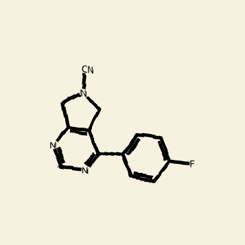 N#CN1Cc2n[c]nc(-c3ccc(F)cc3)c2C1